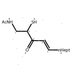 CCCCCCCC=CC(=O)C(S)CNC(C)=O